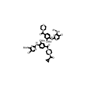 CNc1nc(Nc2ccc(C(=O)N3CCN(C(=O)C4CC4)CC3)cc2OC)ncc1Cl.COc1cc(C(=O)N2CCOCC2)ccc1Nc1ncc(Cl)c(NC(C)C)n1